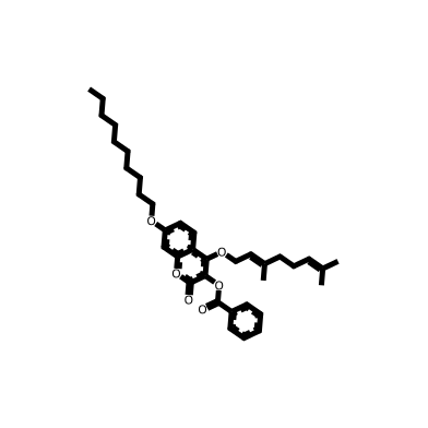 CCCCCCCCCCOc1ccc2c(OC/C=C(\C)CCC=C(C)C)c(OC(=O)c3ccccc3)c(=O)oc2c1